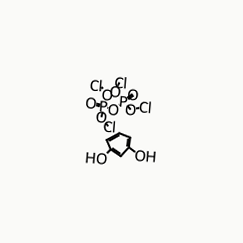 O=P(OCl)(OCl)OP(=O)(OCl)OCl.Oc1cccc(O)c1